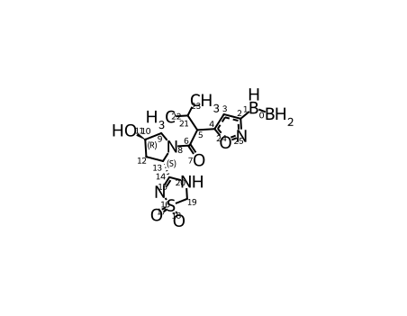 BBc1cc(C(C(=O)N2C[C@H](O)C[C@H]2C2=NS(=O)(=O)CN2)C(C)C)on1